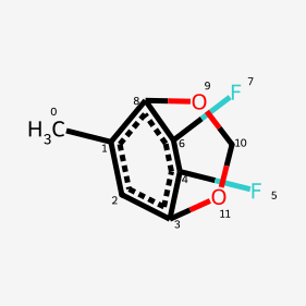 Cc1cc2c(F)c(F)c1OCO2